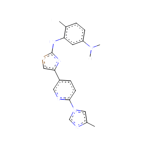 Cc1cn(-c2ccc(-c3csc(Nc4cc(N(C)C)ccc4C)n3)cn2)cn1